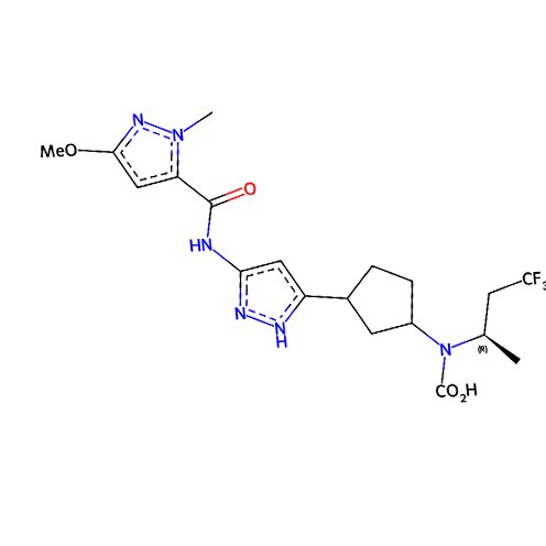 COc1cc(C(=O)Nc2cc(C3CCC(N(C(=O)O)[C@H](C)CC(F)(F)F)C3)[nH]n2)n(C)n1